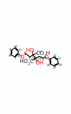 O=C(O)C(O)(CCOc1ccccc1)C(O)(CCOc1ccccc1)C(=O)O